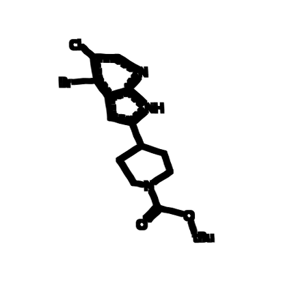 CC(C)(C)OC(=O)N1CCC(c2cc3c(Br)c(Cl)cnc3[nH]2)CC1